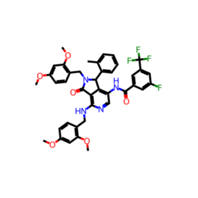 COc1ccc(CNc2ncc(NC(=O)c3cc(F)cc(C(F)(F)F)c3)c3c2C(=O)N(Cc2ccc(OC)cc2OC)C3c2ccccc2C)c(OC)c1